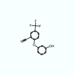 N#Cc1cc(C(F)(F)F)ccc1Oc1cccc(O)c1